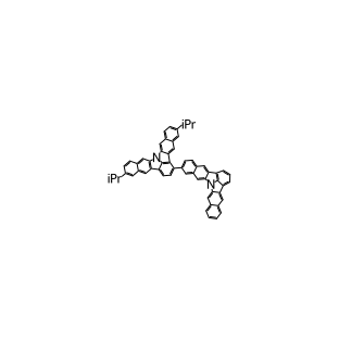 CC(C)c1ccc2cc3c(cc2c1)c1ccc(-c2ccc4cc5c6cccc7c8cc9ccccc9cc8n(c5cc4c2)c76)c2c4cc5cc(C(C)C)ccc5cc4n3c12